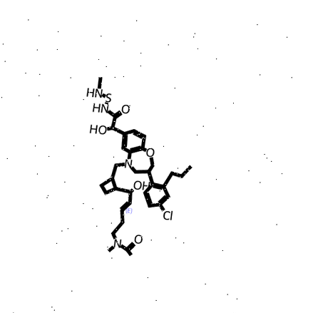 CCCc1cc(Cl)ccc1C1COc2ccc(C(O)C(=O)NSNC)cc2N(CC2CCC2C(O)/C=C/CCN(C)C(C)=O)C1